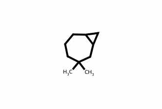 CC1(C)CCCC2CC2C1